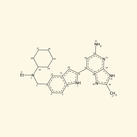 CCN(Cc1ccc2[nH]c(-c3cc(N)nc4[nH]c(C)nc34)cc2c1)C1CCCCC1